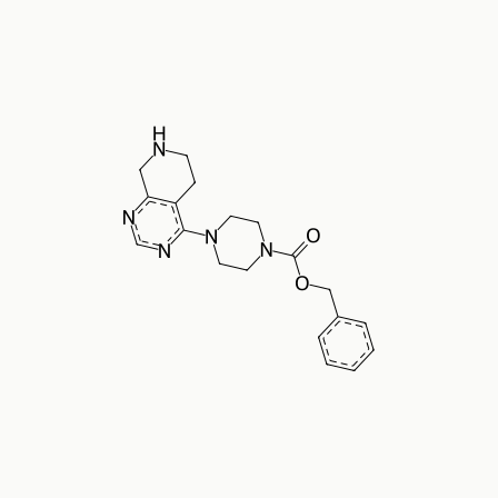 O=C(OCc1ccccc1)N1CCN(c2ncnc3c2CCNC3)CC1